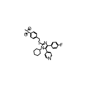 CS(=O)(=O)c1ccc(CSc2nc(-c3ccc(F)cc3)c(-c3ccncc3)n2C2CCCCC2)cc1